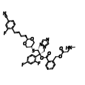 CNCC(=O)OCc1ccccc1C(=O)O[C@@](Cn1cncn1)(c1ccc(F)cc1F)[C@@H](C)S[C@H]1CO[C@H](/C=C/C=C/c2ccc(C#N)cc2F)OC1